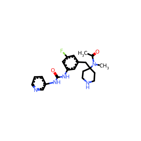 CC(=O)N(C)C1(Cc2cc(F)cc(NC(=O)Nc3cccnc3)c2)CCNCC1